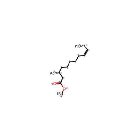 CCCCCCCC/C=C\CCCCCC(CC(=O)OC(C)(C)C)C(C)=O